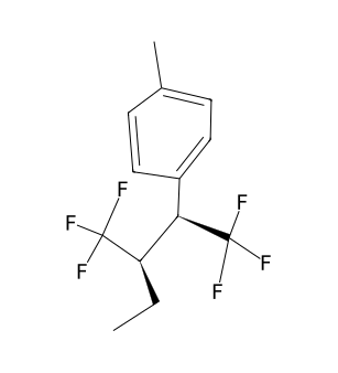 CC[C@H]([C@@H](c1ccc(C)cc1)C(F)(F)F)C(F)(F)F